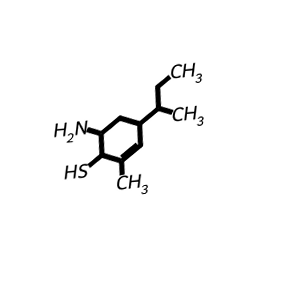 CCC(C)C1C=C(C)C(S)C(N)C1